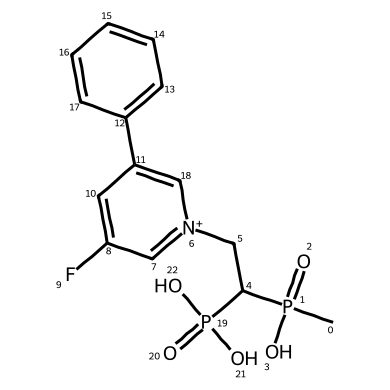 CP(=O)(O)C(C[n+]1cc(F)cc(-c2ccccc2)c1)P(=O)(O)O